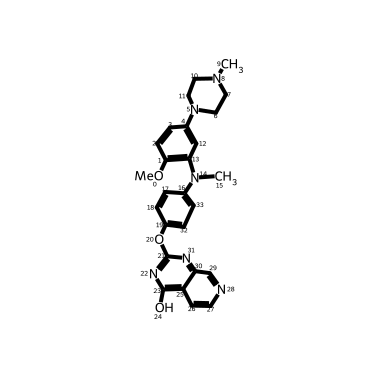 COc1ccc(N2CCN(C)CC2)cc1N(C)c1ccc(Oc2nc(O)c3ccncc3n2)cc1